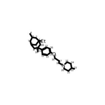 CCC12CC(C)CC(C1)CC(C)(c1ccc(OCCCN3CCC(C)CC3)cc1)C2